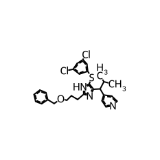 CC(C)C(c1ccncc1)c1nc(CCCOCc2ccccc2)[nH]c1Sc1cc(Cl)cc(Cl)c1